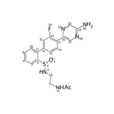 CC(=O)NCCN[S+]([O-])c1ccccc1-c1ccc(-c2cnc(N)cn2)c(F)c1